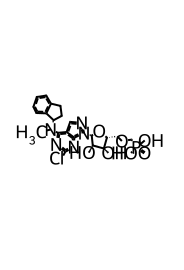 CN(c1nc(Cl)nc2c1cnn2[C@@H]1O[C@H](COCP(=O)(O)O)[C@@H](O)[C@H]1O)[C@H]1CCc2ccccc21